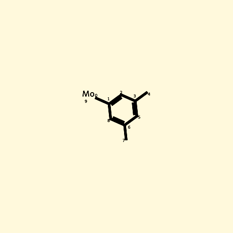 Cc1cc(C)cc(C)c1.[Mo]